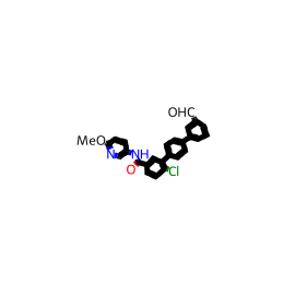 COc1ccc(NC(=O)c2ccc(Cl)c(-c3ccc(-c4cccc(C=O)c4)cc3)c2)cn1